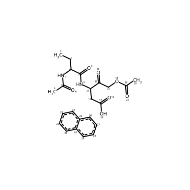 CCC(NC(C)=O)C(=O)NC(CC(=O)O)C(=O)COC(C)=O.c1ccc2ccccc2c1